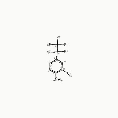 Nc1ccc(C(F)(F)C(F)(F)F)cc1Cl